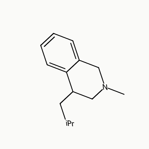 CC(C)CC1CN(C)Cc2ccccc21